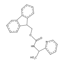 O=C(NC(C(=O)O)c1ccccn1)OCC1c2ccccc2-c2ccccc21